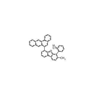 Cc1ccc2c(oc3c(-c4cc5ccccc5c5cc6ccccc6cc45)cccc32)c1-c1cccc[n+]1C